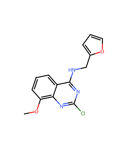 COc1cccc2c(NCc3ccco3)nc(Cl)nc12